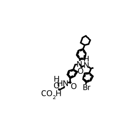 CC(NC(=O)N(Cc1ccc(C(=O)NC[C@@H](O)C(=O)O)cc1)c1ccc(C2CCCCC2)cc1)c1ccc(Br)cc1